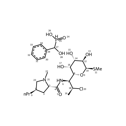 CCC[C@@H]1C[C@@H](C(=O)N[C@@H]([C@H]2O[C@H](SC)[C@H](O)[C@@H](O)[C@H]2O)[C@H](C)Cl)N(C)C1.O=[PH](O)C(O)c1ccccc1